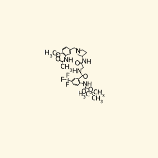 COc1ccc(CN2CCC(NC(=O)CNC(=O)c3cc(C(F)(F)F)ccc3NC(=O)OC(C)(C)C)C2)cc1NC(C)=O